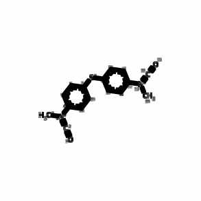 C[N+](=C=O)c1ccc(Sc2ccc([N+](C)=C=O)cc2)cc1